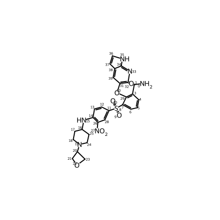 NC(=O)c1cccc(S(=O)(=O)c2ccc(NC3CCN(C4COC4)CC3)c([N+](=O)[O-])c2)c1Oc1cnc2[nH]ccc2c1